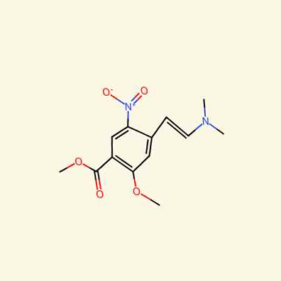 COC(=O)c1cc([N+](=O)[O-])c(/C=C/N(C)C)cc1OC